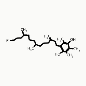 C=C(CCCC(C)CCCC(C)CCCC(C)C)CCc1c(C)c(O)c(C)c(C)c1O